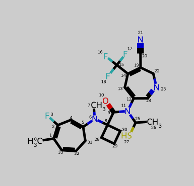 CC1=C(F)C=C(N(C)C2(C(=O)N(C3=CC(C(F)(F)F)=C(C#N)CN=C3)C(C)S)CCC2)CC=C1